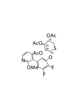 COc1ncccc1-c1cc(F)c(F)c(O[C@H]2SC[C@@H](OC(C)=O)[C@H](OC(C)=O)[C@H]2OC(C)=O)c1